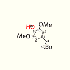 COc1cc(CC(C)(C)C)cc(OC)c1O